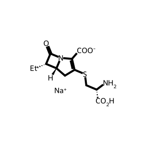 CC[C@@H]1C(=O)N2C(C(=O)[O-])=C(SC[C@H](N)C(=O)O)C[C@H]12.[Na+]